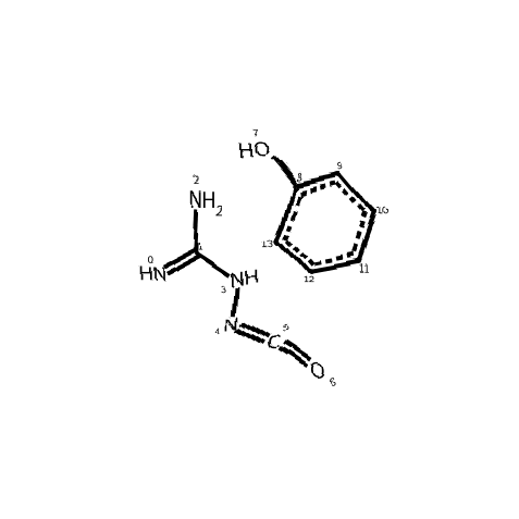 N=C(N)NN=C=O.Oc1ccccc1